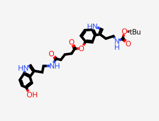 CC(C)(C)OC(=O)NCCc1c[nH]c2ccc(OC(=O)CCCC(=O)NCCc3c[nH]c4ccc(O)cc34)cc12